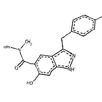 CCCN(C)C(=O)c1cc2c(Cc3ccc(CC)cc3)n[nH]c2cc1O